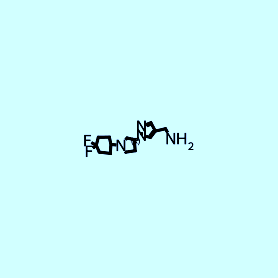 NCc1cnn([C@@H]2CCN(C3CCC(F)(F)CC3)C2)c1